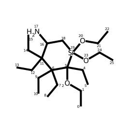 CCOC1(CC)C(CC)(CC)C(CC)(CC)C(N)C[Si]1(OCC)OCC